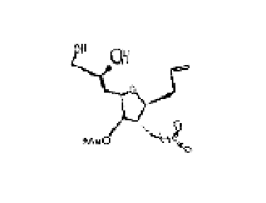 C=CC[C@@H]1O[C@H](C[C@H](O)CO)[C@H](OC)[C@H]1C[SH](=O)=O